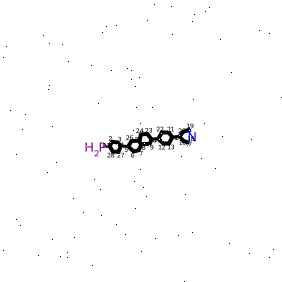 Pc1ccc(-c2ccc3cc(-c4ccc(-c5ccncc5)cc4)ccc3c2)cc1